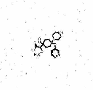 COC(C(=O)O)C1(O)CCC(Oc2ccnnc2)(N2CCNCC2)CC1